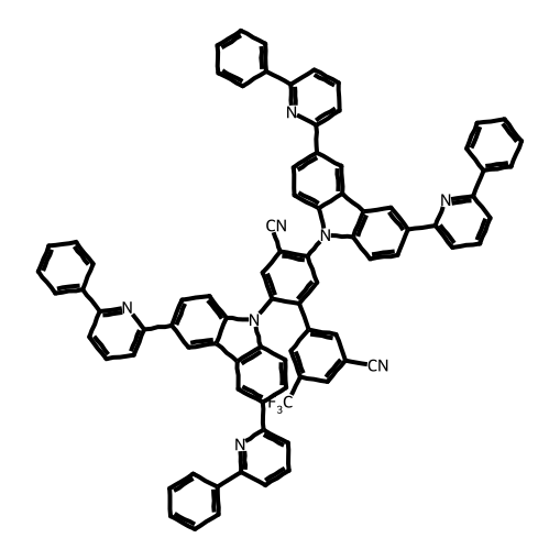 N#Cc1cc(-c2cc(-n3c4ccc(-c5cccc(-c6ccccc6)n5)cc4c4cc(-c5cccc(-c6ccccc6)n5)ccc43)c(C#N)cc2-n2c3ccc(-c4cccc(-c5ccccc5)n4)cc3c3cc(-c4cccc(-c5ccccc5)n4)ccc32)cc(C(F)(F)F)c1